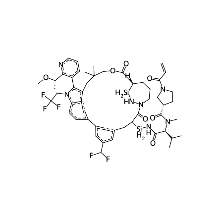 C=CC(=O)N1CC[C@H](C(=O)N(C)[C@H](C(=O)N[SiH2]C2Cc3cc(cc(C(F)F)c3)-c3ccc4c(c3)c(c(-c3cccnc3[C@H](C)OC)n4CC(F)(F)F)CC(C)(C)COC(=O)[C@@H]3CCCN(N[SiH2]3)C2=O)C(C)C)C1